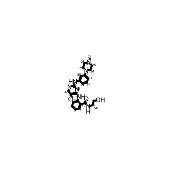 C[C@@H](CO)NC(=O)c1ccccc1Nc1nc(Nc2cccc(N3CCN(C)CC3)c2)ncc1Cl